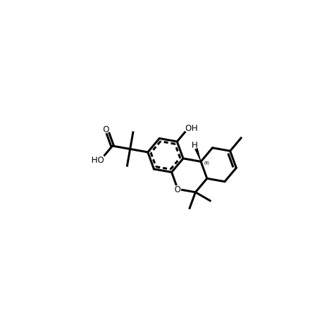 CC1=CCC2[C@@H](C1)c1c(O)cc(C(C)(C)C(=O)O)cc1OC2(C)C